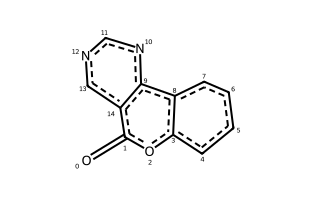 O=c1oc2ccccc2c2ncncc12